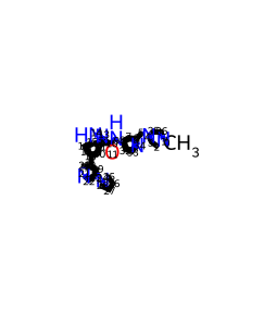 CN1CCN(Cc2cc(NC(=O)c3n[nH]c4ccc(-c5cncc(N6CCCC6)c5)cc34)ccn2)CC1